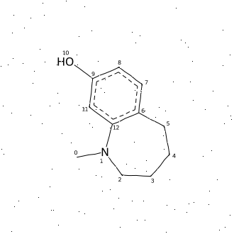 CN1CCCCc2ccc(O)cc21